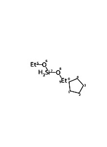 C1CCCC1.CCO[SiH2]OCC